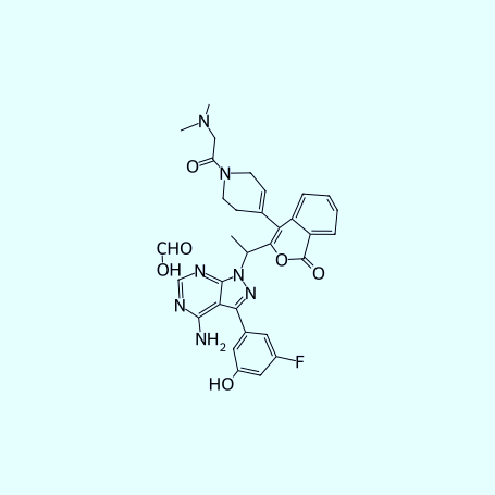 CC(c1oc(=O)c2ccccc2c1C1=CCN(C(=O)CN(C)C)CC1)n1nc(-c2cc(O)cc(F)c2)c2c(N)ncnc21.O=CO